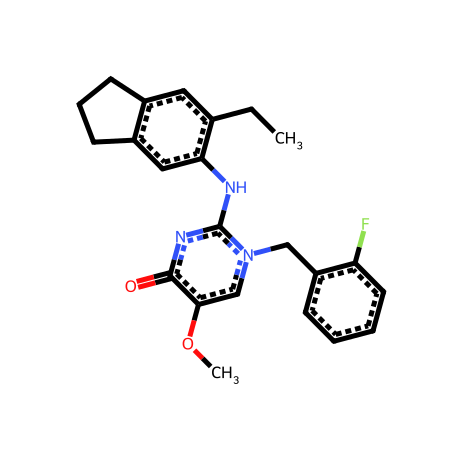 CCc1cc2c(cc1Nc1nc(=O)c(OC)cn1Cc1ccccc1F)CCC2